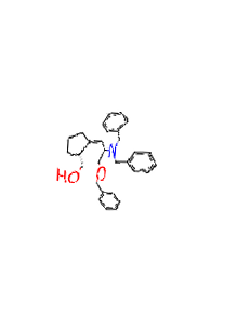 OC[C@@H]1CCC/C1=C/[C@H](COCc1ccccc1)N(Cc1ccccc1)Cc1ccccc1